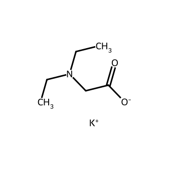 CCN(CC)CC(=O)[O-].[K+]